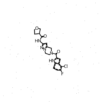 O=C(Nc1cc2n(n1)CCN(C(=O)c1cc3c(Cl)c(F)ccc3[nH]1)C2)C1CCOC1